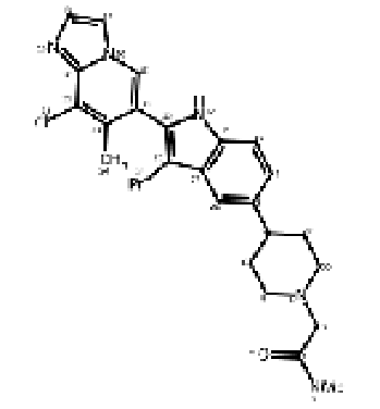 CNC(=O)CN1CCC(c2ccc3[nH]c(-c4cn5ccnc5c(Cl)c4C)c(C(C)C)c3c2)CC1